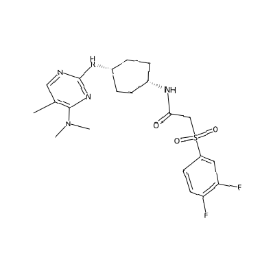 Cc1cnc(N[C@H]2CC[C@@H](NC(=O)CS(=O)(=O)c3ccc(F)c(F)c3)CC2)nc1N(C)C